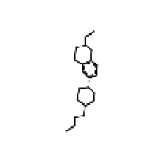 CCCC[C@H]1CC[C@H](c2ccc3c(c2)CCC(CC)C3)CC1